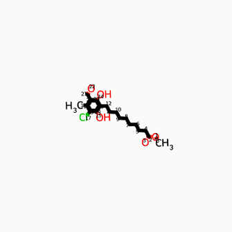 COC(=O)CCCCCCCCCc1c(O)c(Cl)c(C)c(C=O)c1O